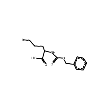 O=C(NC(CCCBr)C(=O)O)OCc1ccccc1